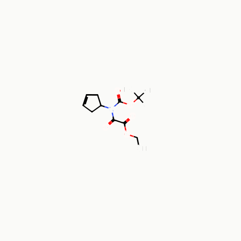 CCOC(=O)C(=O)N(C(=O)OC(C)(C)C)C1CC=CC1